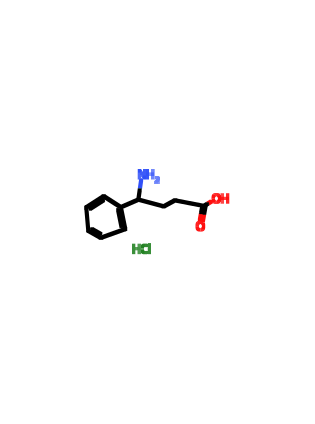 Cl.NC(CCC(=O)O)c1ccccc1